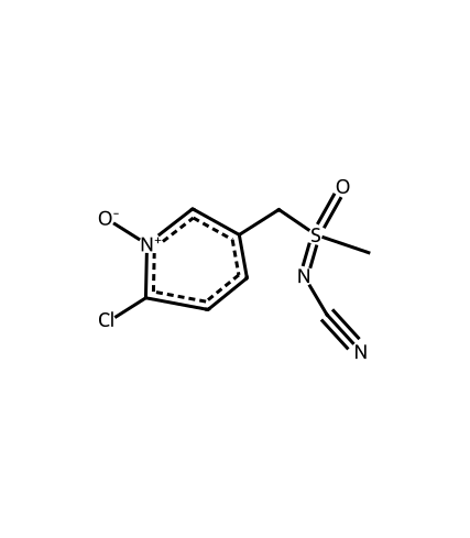 CS(=O)(Cc1ccc(Cl)[n+]([O-])c1)=NC#N